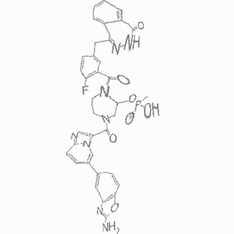 CP(=O)(O)OC1CN(C(=O)c2cnc3ccc(-c4ccc5oc(N)nc5c4)cn23)CCN1C(=O)c1cc(Cc2n[nH]c(=O)c3ccccc23)ccc1F